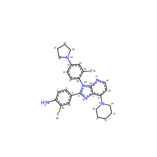 Nc1ccc(-c2nc3c(N4CCCCC4)ccnc3n2-c2ccc(N3CCCC3)cc2F)cc1F